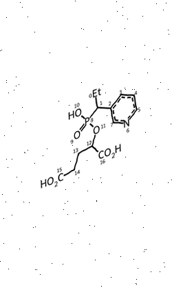 CCC(c1cccnc1)P(=O)(O)OC(CCC(=O)O)C(=O)O